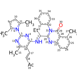 CCC(Nc1nc(-n2c(C)ccc2C)nc(C)c1/C=C/C(C)=O)c1nc2cccc(C)c2c(=O)n1-c1ccccc1